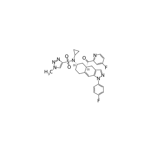 Cn1cc(S(=O)(=O)N(C2CC2)[C@H]2CCC3=Cc4c(cnn4-c4ccc(F)cc4)C[C@]3(C(=O)c3cc(F)ccn3)C2)nn1